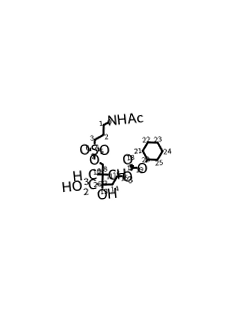 CC(=O)NCCCS(=O)(=O)OCC(C)(C)[C@](O)(CCOC(=O)OC1CCCCC1)C(=O)O